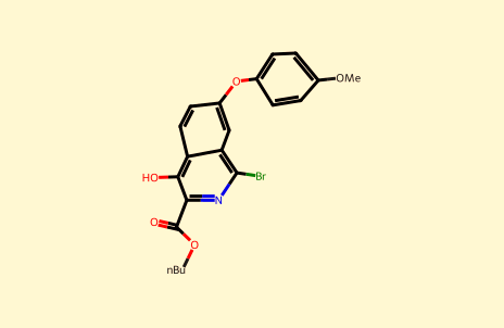 CCCCOC(=O)c1nc(Br)c2cc(Oc3ccc(OC)cc3)ccc2c1O